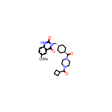 COc1ccc2[nH]c(=O)n(C[C@H]3CC[C@H](C(=O)N4CCN(C(=O)C5CCC5)CC4)CC3)c(=O)c2c1